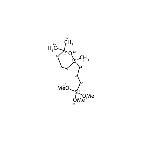 CO[Si](CCC[Si]1(C)CCCC(C)(C)O1)(OC)OC